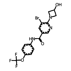 O=C(Nc1ccc(OC(F)(F)F)cc1)c1cnc(N2CC(O)C2)c(Br)c1